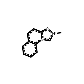 C[n+]1cn2c(ccc3ccccc32)n1